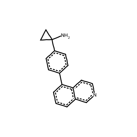 NC1(c2ccc(-c3cccc4cnccc34)cc2)CC1